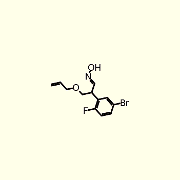 C=CCOCC(C=NO)c1cc(Br)ccc1F